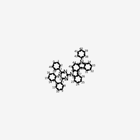 c1ccc(-c2nc(-c3ccccc3-c3ccccc3)nc(-n3c4ccccc4c4c5c6ccccc6n(-c6ccccc6)c5ccc43)n2)cc1